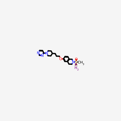 C[SH](=O)(P)N1CCc2cc(OCCCC3CCN(c4ccncn4)CC3)ccc2C1